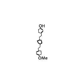 COC1=CC=C(CCc2ccc(CCC3=CC=C(O)CC3)cc2)CC1